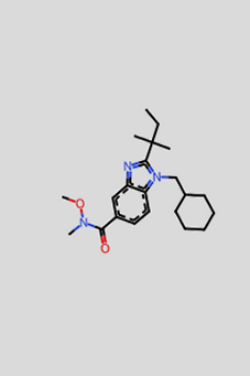 CCC(C)(C)c1nc2cc(C(=O)N(C)OC)ccc2n1CC1CCCCC1